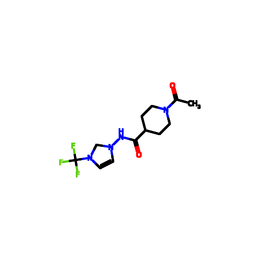 CC(=O)N1CCC(C(=O)NN2C=CN(C(F)(F)F)C2)CC1